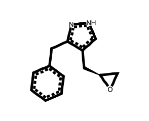 c1ccc(Cc2n[nH]cc2C[C@H]2CO2)cc1